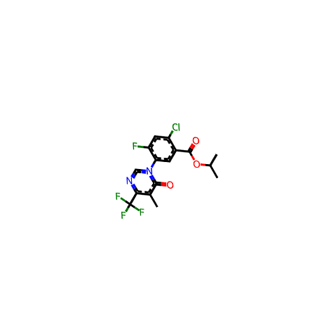 Cc1c(C(F)(F)F)ncn(-c2cc(C(=O)OC(C)C)c(Cl)cc2F)c1=O